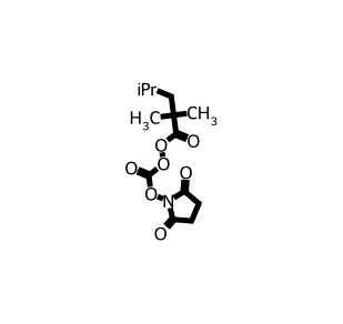 CC(C)CC(C)(C)C(=O)OOC(=O)ON1C(=O)CCC1=O